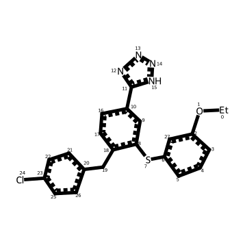 CCOc1cccc(Sc2cc(-c3nnn[nH]3)ccc2Cc2ccc(Cl)cc2)c1